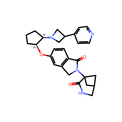 O=C1c2ccc(O[C@H]3CCC[C@H]3N3CC(c4ccncc4)C3)cc2CN1C12CC(CNC1=O)C2